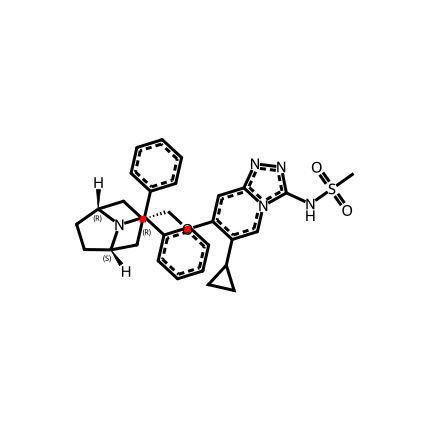 CS(=O)(=O)Nc1nnc2cc(OC[C@H]3C[C@H]4CC[C@@H](C3)N4C(c3ccccc3)c3ccccc3)c(C3CC3)cn12